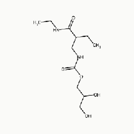 CCNC(=O)C(CC)CNC(=O)OCC(O)CO